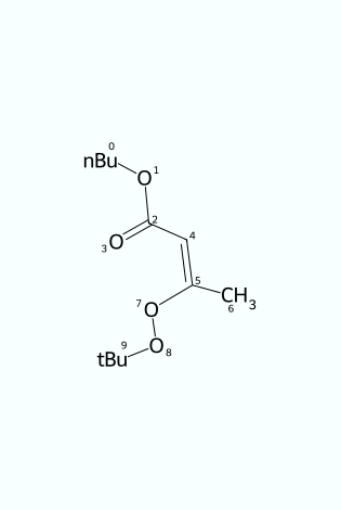 CCCCOC(=O)C=C(C)OOC(C)(C)C